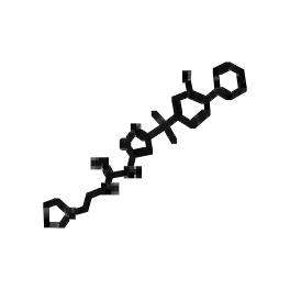 CC(C)(c1ccc(-c2ccccc2)c(F)c1)c1cc(NC(=N)NCCN2CCCC2)on1